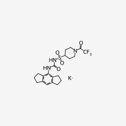 O=C(Nc1c2c(cc3c1CCC3)CCC2)NS(=O)(=O)C1CCN(C(=O)C(F)(F)F)CC1.[K]